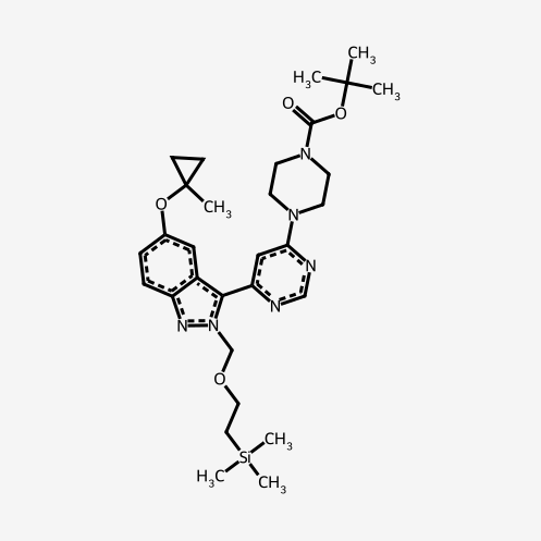 CC(C)(C)OC(=O)N1CCN(c2cc(-c3c4cc(OC5(C)CC5)ccc4nn3COCC[Si](C)(C)C)ncn2)CC1